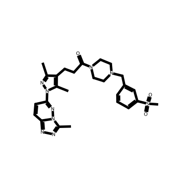 Cc1nn(-c2ccc3nnc(C)n3n2)c(C)c1CCC(=O)N1CCN(Cc2cccc(S(C)(=O)=O)c2)CC1